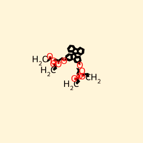 C=CC(=O)OCC(COc1ccc(C2(c3ccc(OCC(COC(=O)C=C)OC(=O)C=C)cc3)c3ccccc3-c3ccccc32)cc1)OC(=O)C=C